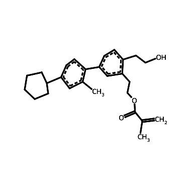 C=C(C)C(=O)OCCc1cc(-c2ccc(C3CCCCC3)cc2C)ccc1CCO